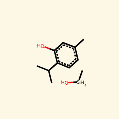 C[SiH2]O.Cc1ccc(C(C)C)c(O)c1